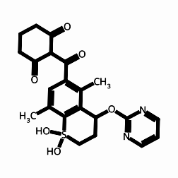 Cc1cc(C(=O)C2C(=O)CCCC2=O)c(C)c2c1S(O)(O)CCC2Oc1ncccn1